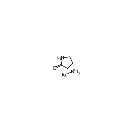 CC(N)=O.O=C1CCCN1